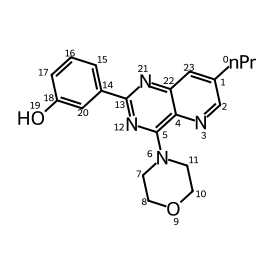 CCCc1cnc2c(N3CCOCC3)nc(-c3cccc(O)c3)nc2c1